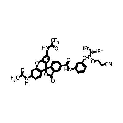 CC(C)N(C(C)C)P(OCCC#N)Oc1cccc(NC(=O)c2ccc3c(c2)C(=O)OC32c3ccc(NC(=O)C(F)(F)F)cc3Oc3cc(NC(=O)C(F)(F)F)ccc32)c1